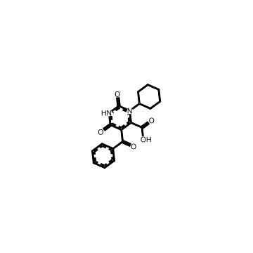 O=C(c1ccccc1)c1c(C(=O)O)n(C2CCCCC2)c(=O)[nH]c1=O